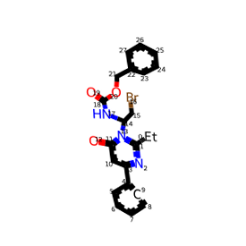 CCc1nc(-c2ccccc2)cc(=O)n1C(CBr)NC(=O)OCc1ccccc1